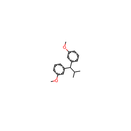 COc1cccc(C(c2cccc(OC)c2)C(C)C)c1